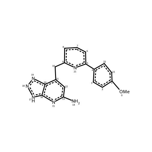 COc1ccc(-c2cccc(Cc3cc(N)nc4[nH]nnc34)n2)cc1